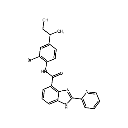 CC(CO)c1ccc(NC(=O)c2cccc3[nH]c(-c4ccccn4)nc23)c(Br)c1